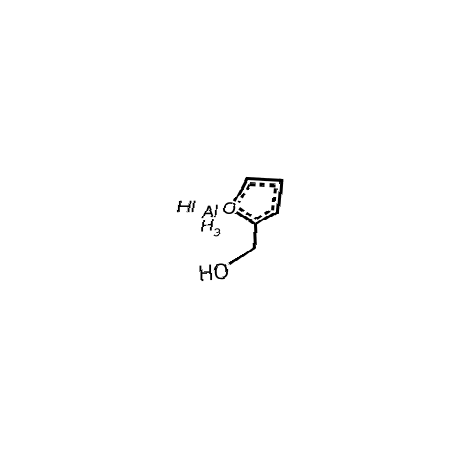 I.OCc1ccco1.[AlH3]